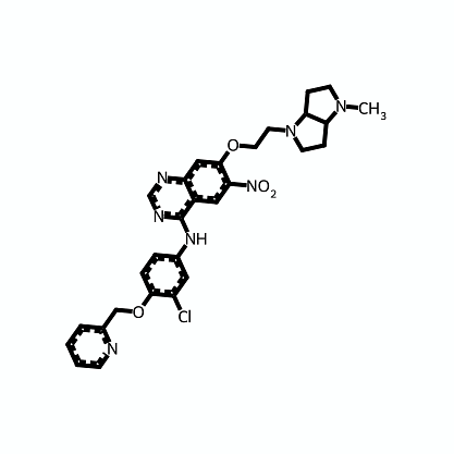 CN1CCC2C1CCN2CCOc1cc2ncnc(Nc3ccc(OCc4ccccn4)c(Cl)c3)c2cc1[N+](=O)[O-]